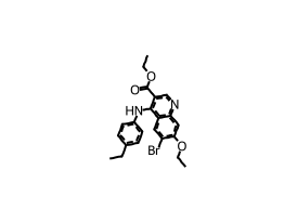 CCOC(=O)c1cnc2cc(OCC)c(Br)cc2c1Nc1ccc(CC)cc1